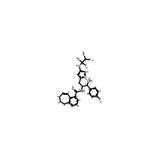 O=C(NC(Cc1cc(OC(F)(F)C(F)F)no1)C(O)c1ccc(F)cc1)c1cccc2c1C=CCCC2